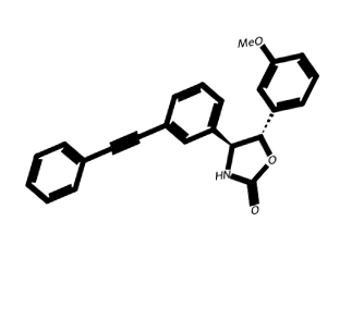 COc1cccc([C@@H]2OC(=O)N[C@H]2c2cccc(C#Cc3ccccc3)c2)c1